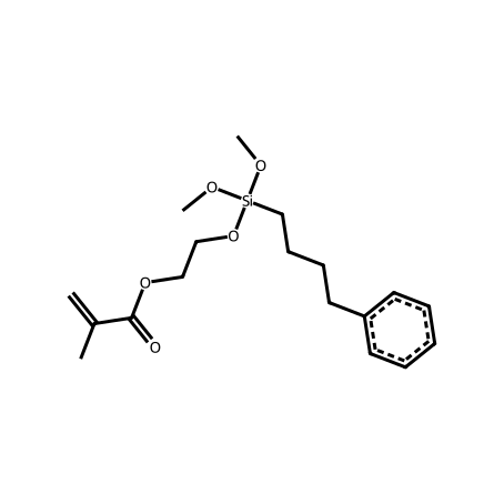 C=C(C)C(=O)OCCO[Si](CCCCc1ccccc1)(OC)OC